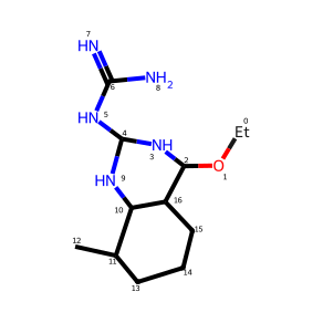 CCOC1NC(NC(=N)N)NC2C(C)CCCC12